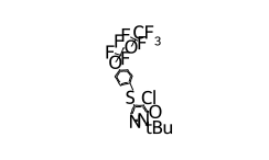 CC(C)(C)n1ncc(SCc2ccc(OC(F)(F)C(F)OC(F)(F)C(F)(F)F)cc2)c(Cl)c1=O